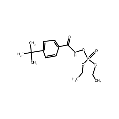 CCOP(=O)(OCC)ONC(=O)c1ccc(C(C)(C)C)cc1